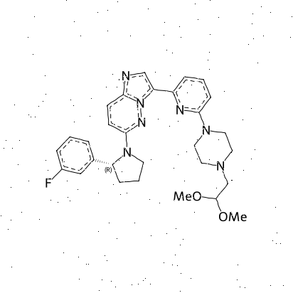 COC(CN1CCN(c2cccc(-c3cnc4ccc(N5CCC[C@@H]5c5cccc(F)c5)nn34)n2)CC1)OC